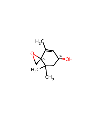 CC1=C[C@@H](O)CC(C)(C)[C@@]12CO2